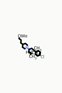 COCCCC1CCN(C(C=C(C)C)CC(C)(C)c2ccc(Cl)cc2)CC1